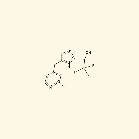 OC(c1ncc(Cc2ccnc(F)c2)[nH]1)C(F)(F)F